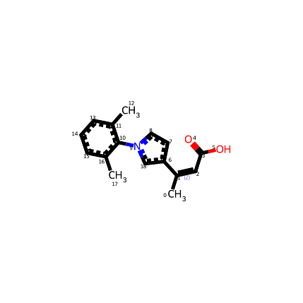 C/C(=C/C(=O)O)c1ccn(-c2c(C)cccc2C)c1